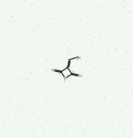 CCC(C)C=C1C(=O)OC1=O